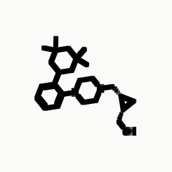 CC1(C)CC(c2ccccc2N2CCN(C[C@@H]3C[C@@H]3CO)CC2)CC(C)(C)C1